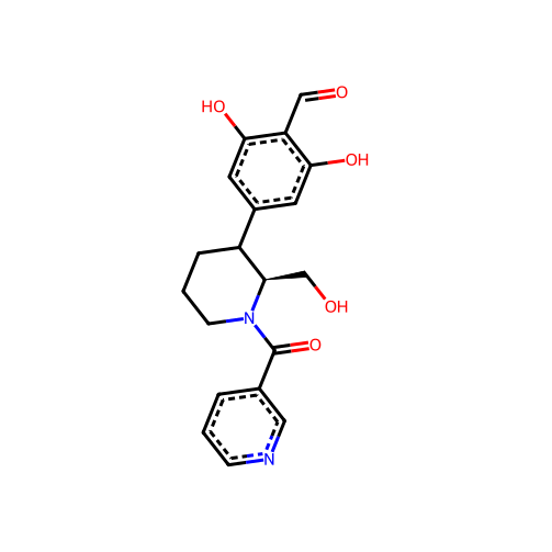 O=Cc1c(O)cc(C2CCCN(C(=O)c3cccnc3)[C@@H]2CO)cc1O